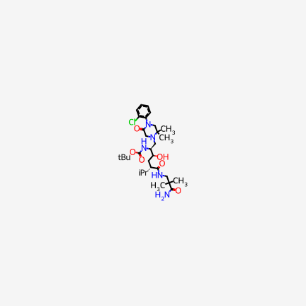 CC(C)[C@H](C[C@H](O)[C@H](CN1CC(=O)N(c2ccccc2Cl)CC1(C)C)NC(=O)OC(C)(C)C)C(=O)NCC(C)(C)C(N)=O